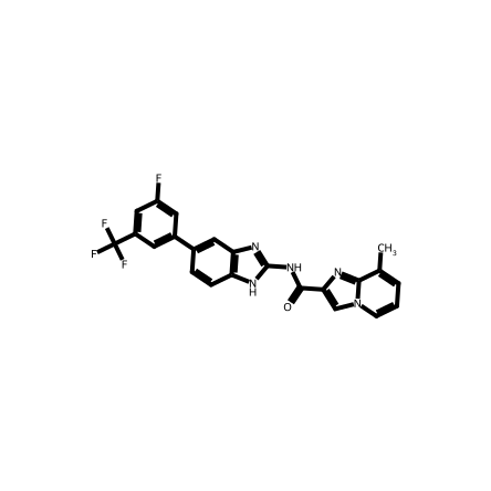 Cc1cccn2cc(C(=O)Nc3nc4cc(-c5cc(F)cc(C(F)(F)F)c5)ccc4[nH]3)nc12